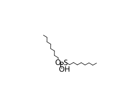 CCCCCCCCOP(O)SCCCCCCCC